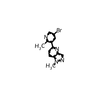 Cc1ncc(Br)cc1-c1ccc2c(cnn2C)n1